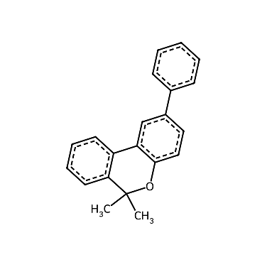 CC1(C)Oc2ccc(-c3ccccc3)cc2-c2ccccc21